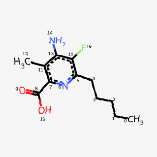 CCCCCc1nc(C(=O)O)c(C)c(N)c1F